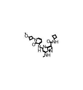 CNc1cc(Nc2cccn([C@H]3C[C@H](OC)C3)c2=O)nc2c(C(=O)NC3CCC3)cnn12